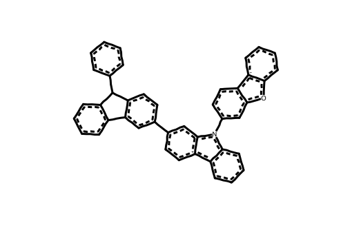 c1ccc(C2c3ccccc3-c3cc(-c4ccc5c6ccccc6n(-c6ccc7c(c6)oc6ccccc67)c5c4)ccc32)cc1